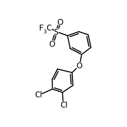 O=S(=O)(c1cccc(Oc2ccc(Cl)c(Cl)c2)c1)C(F)(F)F